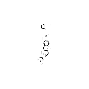 Cn1cc(-n2ccc(=O)c(Cc3cccc(NC(=O)OC[C@@H]4CCCN4)c3)n2)cn1